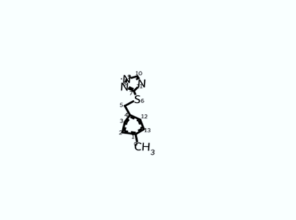 Cc1ccc(CSC2=N[N]C=N2)cc1